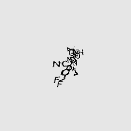 C[C@H](NS(=O)(=O)c1cnc(-c2c(C#N)c3ccc(CC(F)F)cc3n2CC2CC2)nc1)C1CC1